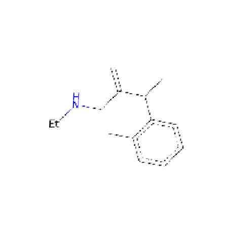 C=C(CNCC)C(C)c1ccccc1C